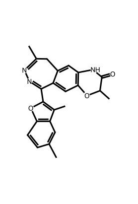 CC1=NN=C(c2oc3ccc(C)cc3c2C)c2cc3c(cc2C1)NC(=O)C(C)O3